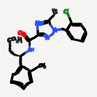 CCc1nc(C(=O)N[C@@H](CC(=O)O)c2ccccc2C)nn1-c1ccccc1Cl